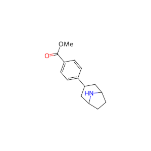 COC(=O)c1ccc(C2CC3CCC(C2)N3)cc1